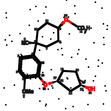 COc1ccc([C@]2(C#N)CC[C@H](OC(=O)O)CC2)cc1O[C@@H]1CC[C@H](O)C1